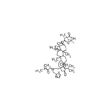 CC(C)C1=C2[C@H]3CCC4[C@@]5(C)CC[C@H](OC(=O)CC(C)(C)C(=O)O)C(C)(C)[C@H]5CC[C@@]4(C)[C@]3(C)CC[C@@]2(CCN(CC(=O)N(C)C)Cc2nccs2)CC1=O